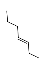 CCC=CCCC